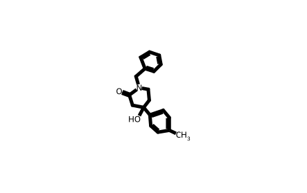 Cc1ccc(C2(O)CCN(Cc3ccccc3)C(=O)C2)cc1